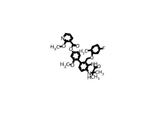 COc1cc(OC(=O)c2cccnc2OC)ccc1-c1ccc2c(c1COc1cc(F)ccc1C)NC(=O)C(C)(C)N2